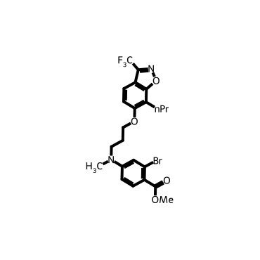 CCCc1c(OCCCN(C)c2ccc(C(=O)OC)c(Br)c2)ccc2c(C(F)(F)F)noc12